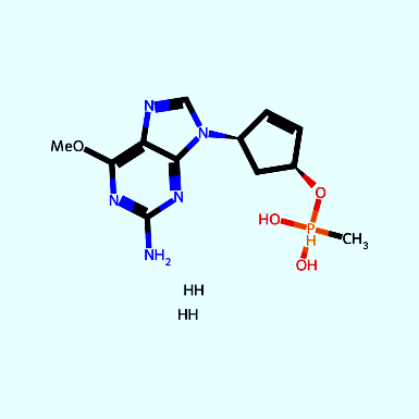 COc1nc(N)nc2c1ncn2[C@H]1C=C[C@@H](O[PH](C)(O)O)C1.[HH].[HH]